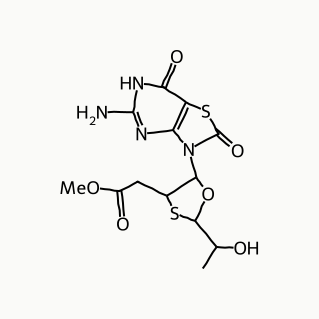 COC(=O)CC1SC(C(C)O)OC1n1c(=O)sc2c(=O)[nH]c(N)nc21